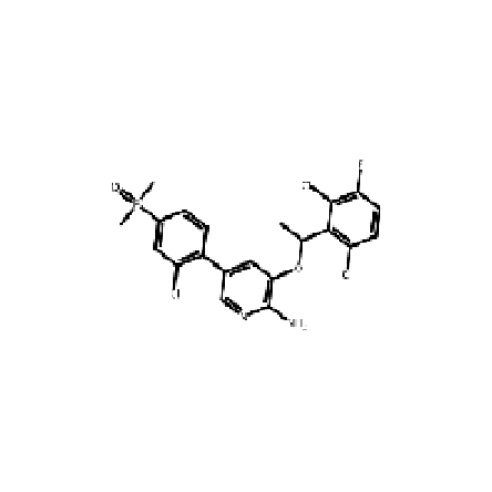 CC(Oc1cc(-c2ccc(P(C)(C)=O)cc2Cl)cnc1N)c1c(Cl)ccc(F)c1Cl